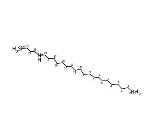 NCCCCCCCCCCCCCCCCCCCNCCC[SiH3]